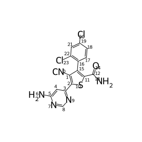 [C-]#[N+]c1c(-c2cc(N)ncn2)sc(C(N)=O)c1-c1ccc(Cl)cc1Cl